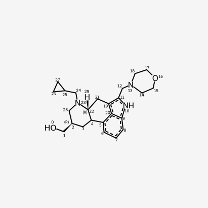 OC[C@@H]1CC2c3cccc4[nH]c(CN5CCOCC5)c(c34)C[C@H]2N(CC2CC2)C1